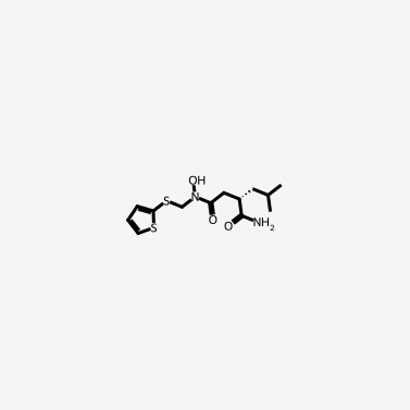 CC(C)C[C@@H](CC(=O)N(O)CSc1cccs1)C(N)=O